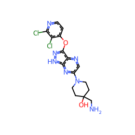 NCC1(O)CCN(c2cnc3c(Oc4ccnc(Cl)c4Cl)n[nH]c3n2)CC1